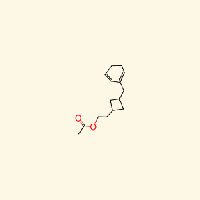 CC(=O)OCCC1CC(Cc2ccccc2)C1